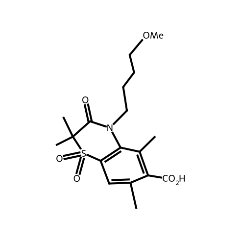 COCCCCN1C(=O)C(C)(C)S(=O)(=O)c2cc(C)c(C(=O)O)c(C)c21